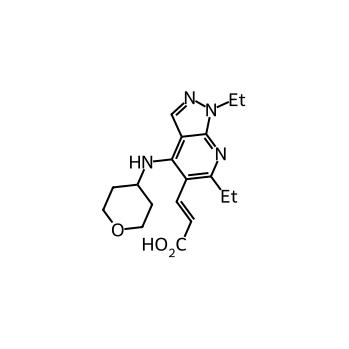 CCc1nc2c(cnn2CC)c(NC2CCOCC2)c1C=CC(=O)O